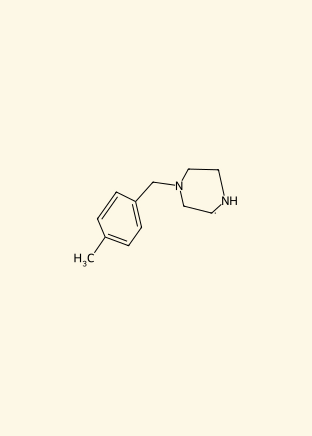 Cc1ccc(CN2C[CH]NCC2)cc1